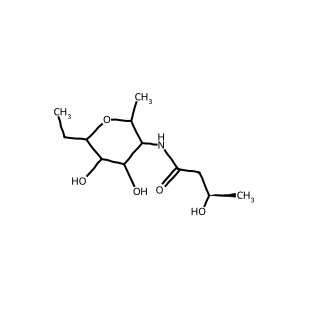 CCC1OC(C)C(NC(=O)C[C@@H](C)O)C(O)C1O